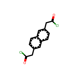 O=C(Cl)Cc1ccc2cc(CC(=O)Cl)ccc2c1